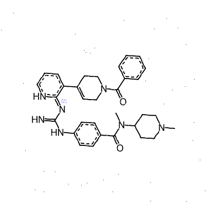 CN1CCC(N(C)C(=O)c2ccc(NC(=N)/N=c3\[nH]cccc3C3=CCN(C(=O)c4ccccc4)CC3)cc2)CC1